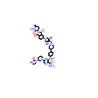 C=C1CCC(N2C(=O)c3ccc(N4C[C@@H]5[C@@H](CN6CCC(c7ccc(Nc8nc(N9CCC[C@@H](N%10CCN(C)C%10=O)C9)cnc8C(N)=O)cc7)CC6)[C@@H]5C4)cc3C2=O)C(=O)N1